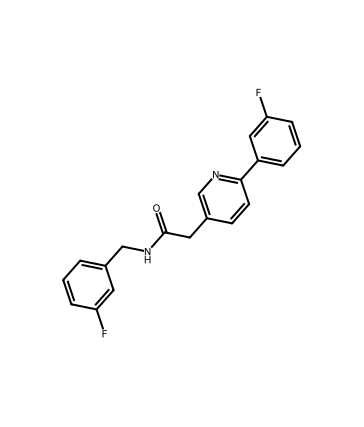 O=C(Cc1ccc(-c2cccc(F)c2)nc1)NCc1cccc(F)c1